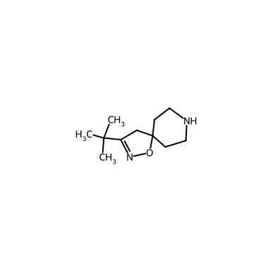 CC(C)(C)C1=NOC2(CCNCC2)C1